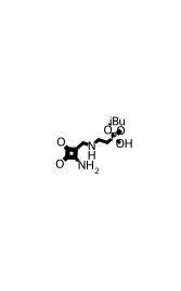 CCC(C)OP(=O)(O)CCNCc1c(N)c(=O)c1=O